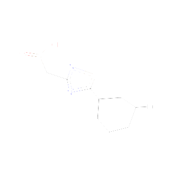 CCC1CCCC(c2nc(CS(=O)O)ns2)C1